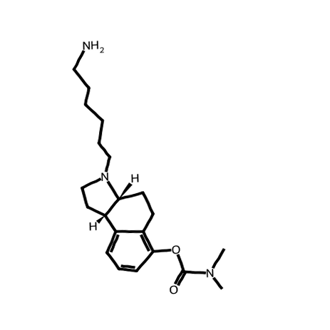 CN(C)C(=O)Oc1cccc2c1CC[C@@H]1[C@H]2CCN1CCCCCCN